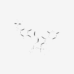 COc1c(-c2ccc3cc(NS(C)(=O)=O)ccc3c2)cc(-n2ccc(=O)[nH]c2=O)cc1C(C)(C)C.[Na]